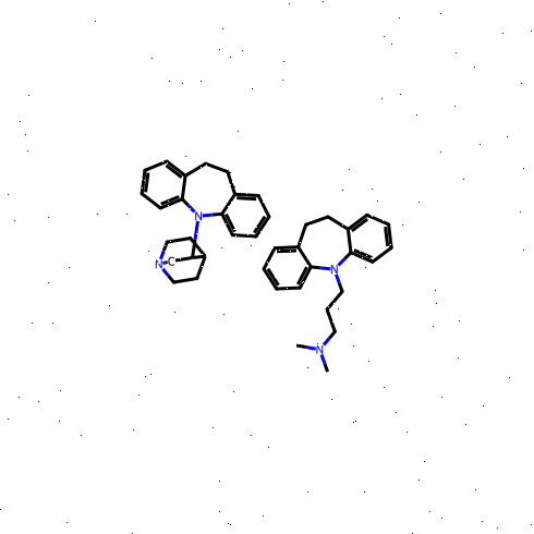 CN(C)CCCN1c2ccccc2CCc2ccccc21.c1ccc2c(c1)CCc1ccccc1N2C1CN2CCC1CC2